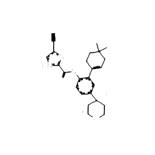 C#Cc1c[nH]c(C(=O)Nc2ccc([C@]3(O)C[C@@H](C)O[C@@H](C)C3)cc2C2=CCC(C)(C)CC2)n1